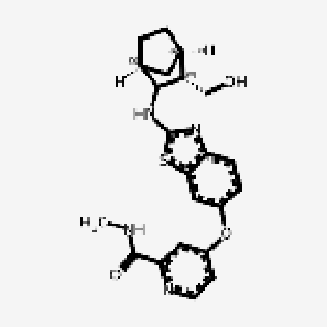 CNC(=O)c1cc(Oc2ccc3nc(NC4[C@H]5CC[C@H](C5)[C@@H]4CO)sc3c2)ccn1